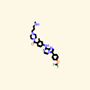 CNCCCN1CCN(C(=O)c2ccc(Nc3nccn4c(-c5ccc(OC(F)F)cc5)cnc34)cc2C)CC1